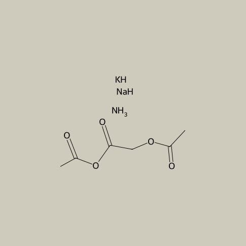 CC(=O)OCC(=O)OC(C)=O.N.[KH].[NaH]